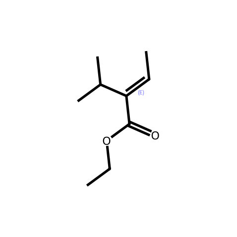 C/C=C(/C(=O)OCC)C(C)C